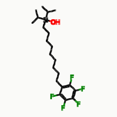 CC(C)[Si](O)(CCCCCCCCCc1c(F)c(F)c(F)c(F)c1F)C(C)C